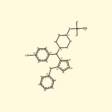 CC(C)(O)CN1CCN(C(c2ccc(F)cc2)c2nncn2Cc2ccccc2)CC1